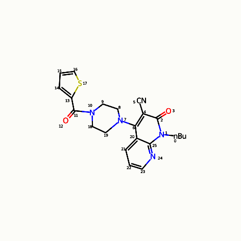 CCCCn1c(=O)c(C#N)c(N2CCN(C(=O)c3cccs3)CC2)c2cccnc21